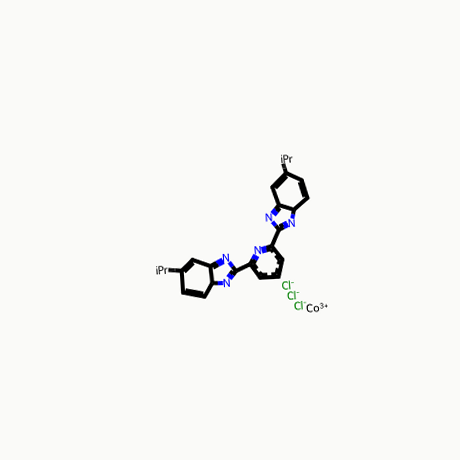 CC(C)C1=CC2=NC(c3cccc(C4=NC5C=CC(C(C)C)=CC5=N4)n3)=NC2C=C1.[Cl-].[Cl-].[Cl-].[Co+3]